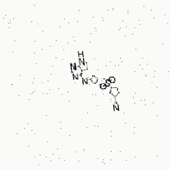 CN(c1ncnc2[nH]ccc12)[C@H]1C[C@@H](CS(=O)(=O)[C@H]2CCC(C#N)C2)C1